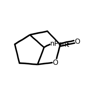 CCCCCC1C2CCC1OC(=O)C2